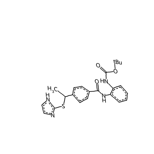 CC(Sc1ncc[nH]1)c1ccc(C(=O)Nc2ccccc2NC(=O)OC(C)(C)C)cc1